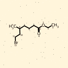 CCOC(=O)CCCC(C)CCBr